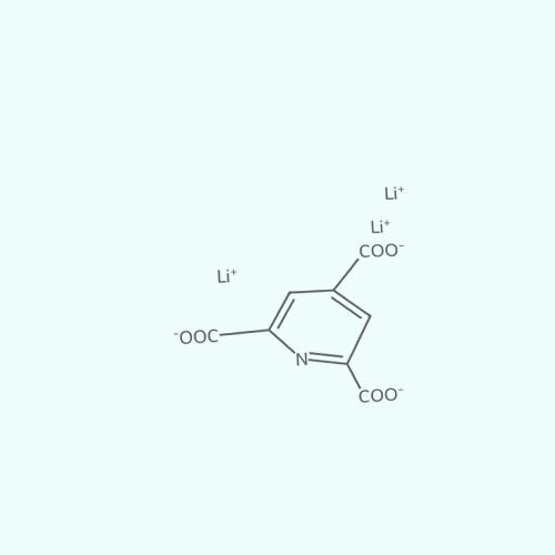 O=C([O-])c1cc(C(=O)[O-])nc(C(=O)[O-])c1.[Li+].[Li+].[Li+]